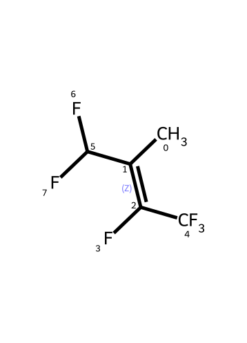 C/C(=C(/F)C(F)(F)F)C(F)F